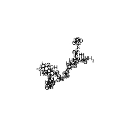 COc1cccc2c1C(=O)c1c(O)c3c(c(O)c1C2=O)C[C@@H](C(=O)COC(=O)N(C)CCN(C)C(=O)OCc1ccc(NC(=O)[C@H](CCCNC(N)=O)NC(=O)CNC(=O)CCCCCN2C(=O)CCC2=O)cc1)C[C@@H]3O[C@H]1C[C@H]2[C@H](O[C@@H]3COCCN32)[C@H](C)O1